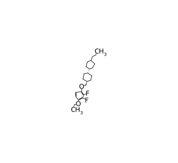 CCCC1CCC([C@H]2CC[C@H](COc3ccc(OCC)c(F)c3F)CC2)CC1